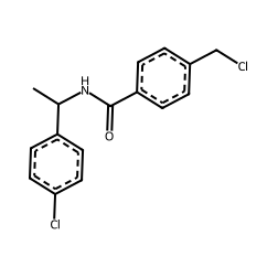 CC(NC(=O)c1ccc(CCl)cc1)c1ccc(Cl)cc1